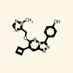 Cn1ncnc1COc1nn2c(-c3ccc(O)cc3)nnc2cc1C1=CC=C1